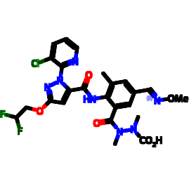 CO/N=C/c1cc(C)c(NC(=O)c2cc(OCC(F)F)nn2-c2ncccc2Cl)c(C(=O)N(C)N(C)C(=O)O)c1